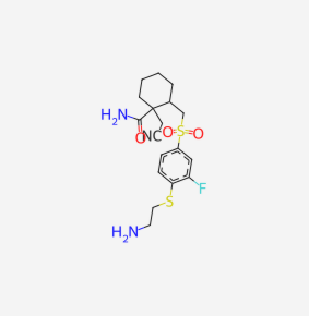 N#CCC1(C(N)=O)CCCCC1CS(=O)(=O)c1ccc(SCCN)c(F)c1